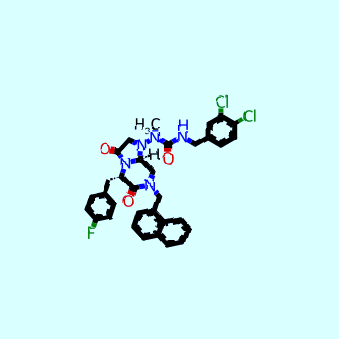 CN(C(=O)NCc1ccc(Cl)c(Cl)c1)N1CC(=O)N2[C@@H](Cc3ccc(F)cc3)C(=O)N(Cc3cccc4ccccc34)C[C@@H]21